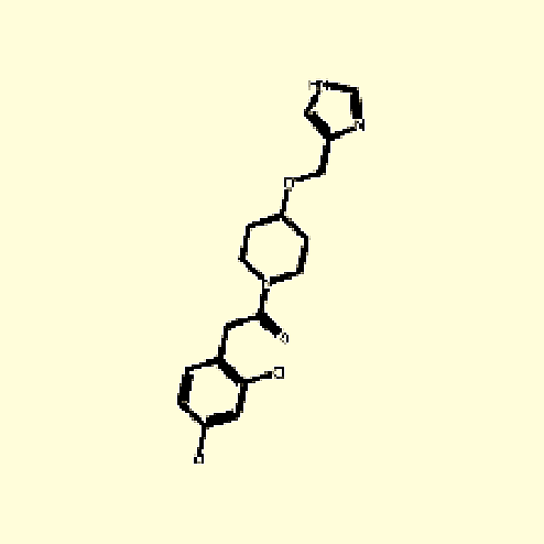 O=C(Cc1ccc(Cl)cc1Cl)N1CCC(OCc2c[nH]cn2)CC1